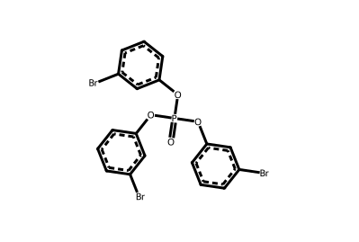 O=P(Oc1cccc(Br)c1)(Oc1cccc(Br)c1)Oc1cccc(Br)c1